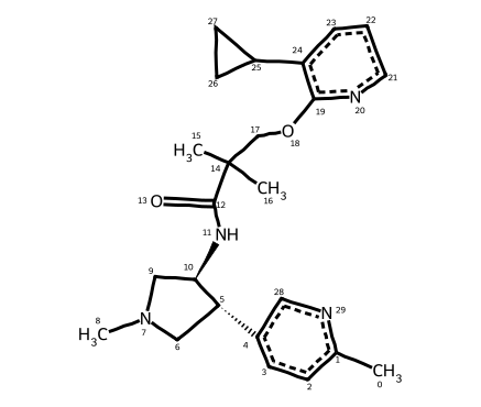 Cc1ccc([C@@H]2CN(C)C[C@H]2NC(=O)C(C)(C)COc2ncccc2C2CC2)cn1